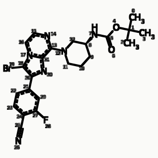 CC(C)(C)OC(=O)N[C@H]1CCCN(c2nccn3c(Br)c(-c4ccc(C#N)c(F)c4)nc23)C1